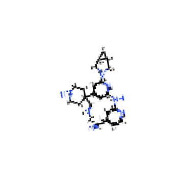 C/N=C/C1(c2cc(Nc3cc(C#N)ccn3)nc(N3CC4CC4C3)c2)CCNCC1